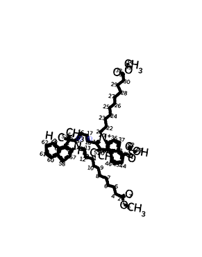 COC(=O)CCCCCCCCCCN1/C(=C\C=C\C2=[N+](CCCCCCCCCCC(=O)OC)c3ccc4c(S(=O)(=O)O)cccc4c3C2(C)C)C(C)(C)c2c1ccc1ccccc21